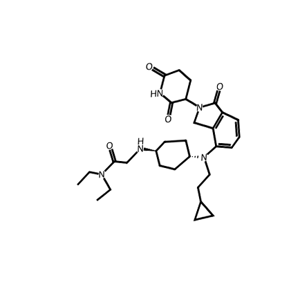 CCN(CC)C(=O)CN[C@H]1CC[C@H](N(CCC2CC2)c2cccc3c2CN(C2CCC(=O)NC2=O)C3=O)CC1